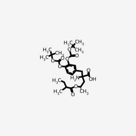 CCC(C)C(=O)O[C@@H](C)CC(N)(Cc1ccc(OC(=O)OC(C)(C)C)c(OC(=O)OC(C)(C)C)c1)C(=O)O